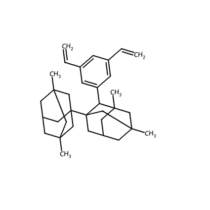 C=Cc1cc(C=C)cc(C2C3(C)CC4CC(C)(C3)CC2(C23CC5CC(C)(CC(C)(C5)C2)C3)C4)c1